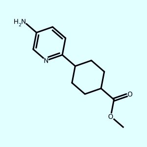 COC(=O)C1CCC(c2ccc(N)cn2)CC1